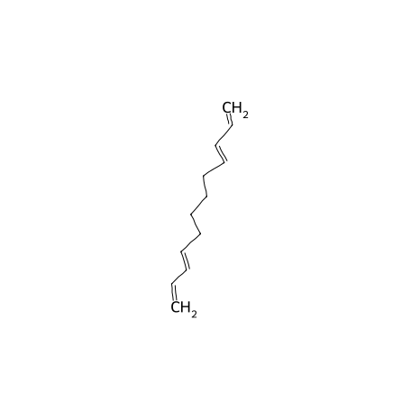 C=CC=CCCCCC=CC=C